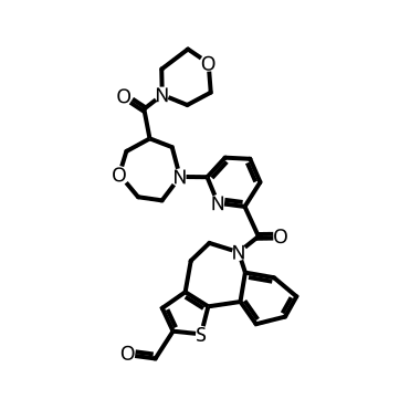 O=Cc1cc2c(s1)-c1ccccc1N(C(=O)c1cccc(N3CCOCC(C(=O)N4CCOCC4)C3)n1)CC2